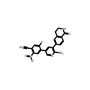 C#Cc1cc(F)c(-c2cnc(N)c(-c3ccc4c(c3)CCNC4=O)c2)cc1[N+](=O)[O-]